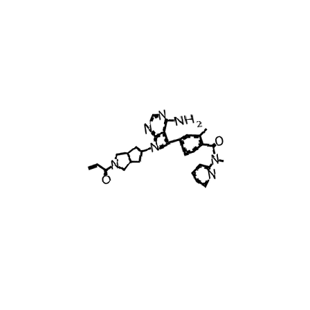 C=CC(=O)N1CC2CC(n3cc(-c4ccc(C(=O)N(C)c5ccccn5)c(C)c4)c4c(N)ncnc43)CC2C1